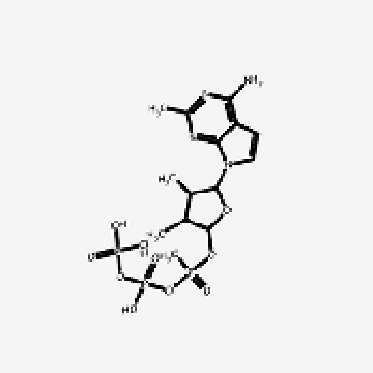 Cc1nc(N)c2ccn(C3OC(OP(C)(=O)OP(=O)(O)OP(=O)(O)O)C(C)C3C)c2n1